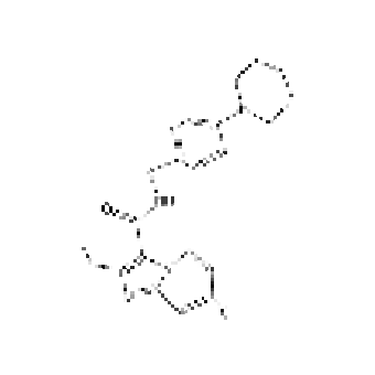 CCc1nc2cc(Cl)ccn2c1C(=O)NCc1ccc(N2CCCCC2)cc1